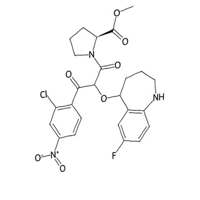 COC(=O)[C@@H]1CCCN1C(=O)C(OC1CCCNc2ccc(F)cc21)C(=O)c1ccc([N+](=O)[O-])cc1Cl